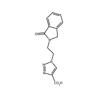 O=C(O)c1cn(CCN2Cc3ccccc3C2=O)nn1